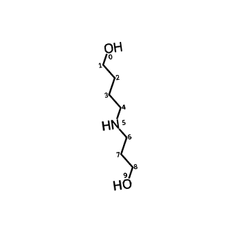 OCCCCNCCCO